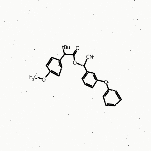 CC(C)(C)C(C(=O)OC(C#N)c1cccc(Oc2ccccc2)c1)c1ccc(OC(F)(F)F)cc1